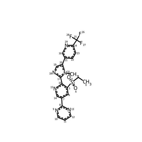 CCS(=O)(=O)c1cc(-c2ncccn2)cnc1-c1ncc(-c2ccc(C(F)(F)F)nc2)n1C